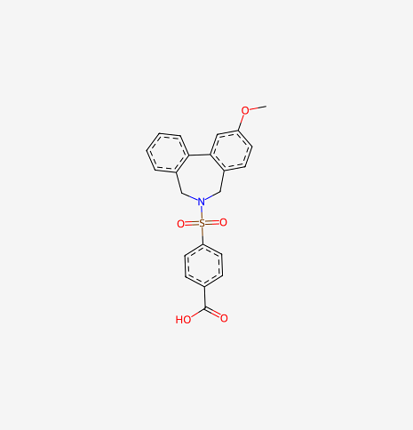 COc1ccc2c(c1)-c1ccccc1CN(S(=O)(=O)c1ccc(C(=O)O)cc1)C2